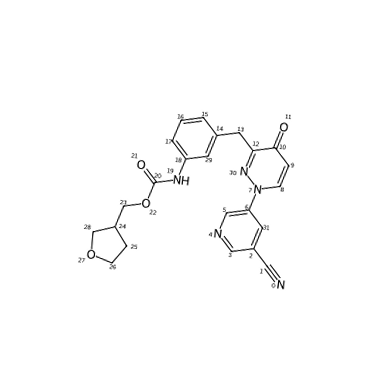 N#Cc1cncc(-n2ccc(=O)c(Cc3cccc(NC(=O)OCC4CCOC4)c3)n2)c1